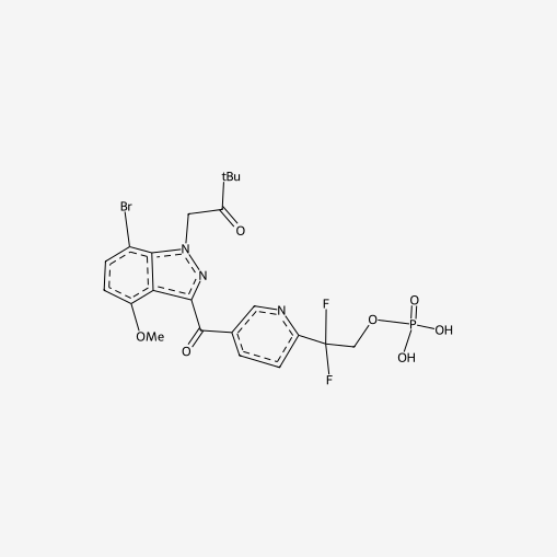 COc1ccc(Br)c2c1c(C(=O)c1ccc(C(F)(F)COP(=O)(O)O)nc1)nn2CC(=O)C(C)(C)C